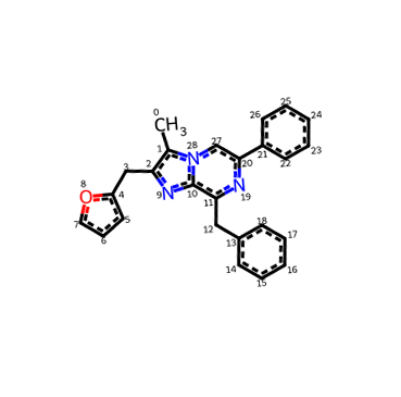 Cc1c(Cc2ccco2)nc2c(Cc3ccccc3)nc(-c3ccccc3)cn12